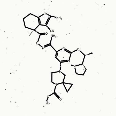 C[C@H](Oc1nc(/C(N)=N/OC(=O)[C@@]2(C)CCCc3sc(N)c(C#N)c32)cc(N2CCN(C(=O)OC(C)(C)C)C3(CC3)C2)n1)[C@@H]1CCCN1C